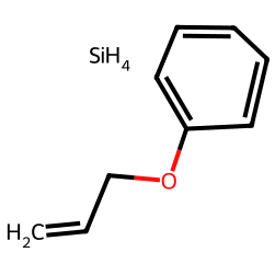 C=CCOc1ccccc1.[SiH4]